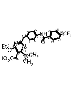 CCOc1nc(Cc2ccc(NC(=O)c3ccc(C(F)(F)F)cc3)cc2)nc(N(C)C)c1CC(=O)O